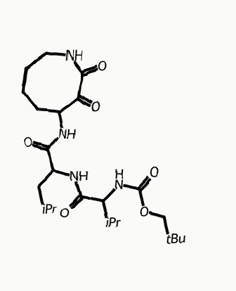 CC(C)CC(NC(=O)C(NC(=O)OCC(C)(C)C)C(C)C)C(=O)NC1CCCCNC(=O)C1=O